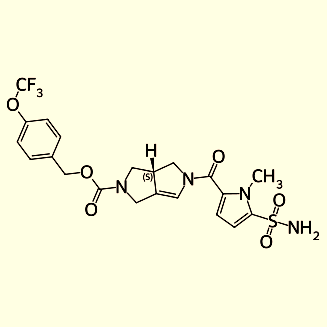 Cn1c(C(=O)N2C=C3CN(C(=O)OCc4ccc(OC(F)(F)F)cc4)C[C@@H]3C2)ccc1S(N)(=O)=O